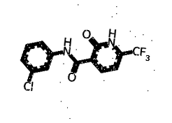 O=C(Nc1cccc(Cl)c1)c1ccc(C(F)(F)F)[nH]c1=O